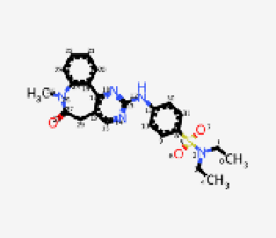 CCN(CC)S(=O)(=O)c1ccc(Nc2ncc3c(n2)-c2ccccc2N(C)C(=O)C3)cc1